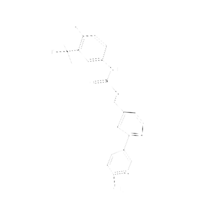 Cc1ccc(-c2cccc(CNC(=O)Nc3ccc(Cl)c(C(F)(F)F)c3)c2)cn1